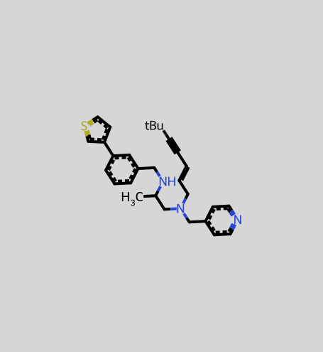 CC(CN(C/C=C/C#CC(C)(C)C)Cc1ccncc1)NCc1cccc(-c2ccsc2)c1